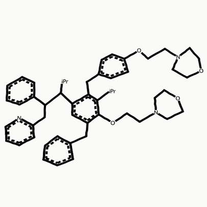 CC(C)[C](c1cc(Cc2ccccc2)c(OCCN2CCOCC2)c(C(C)C)c1Cc1ccc(OCCN2CCOCC2)cc1)C(Cc1ccccn1)c1ccccc1